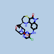 Cn1c(=O)c2c(c3cc(Nc4nc(N5C6COCC5CC(O)C6)ncc4Cl)ccc31)N[C@@H](C1CC1)CCS2